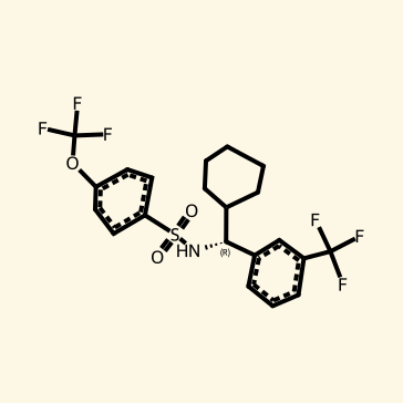 O=S(=O)(N[C@@H](c1cccc(C(F)(F)F)c1)C1CCCCC1)c1ccc(OC(F)(F)F)cc1